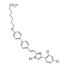 CCn1cc(-c2ccc(Cl)cc2Cl)nc1/C=C/c1ccc(-c2ccc(OCCCCCCC(=O)O)cc2)cc1